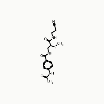 CSC(CNC(=O)c1ccc(NC(C)=O)cc1)C(=O)NCCC#N